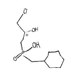 O=P(O)(CC1CCCCC1)C[C@@H](O)CCl